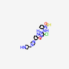 COc1cc(N2CCN(CC3CCNCC3)CC2)ccc1Nc1ncc(Cl)c(Nc2ccccc2N(C)[SH]=O)n1